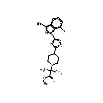 CC(C)c1nn(-c2noc(C3CCN(C(C)(C)C(=O)OC(C)(C)C)CC3)n2)c2c(F)cccc12